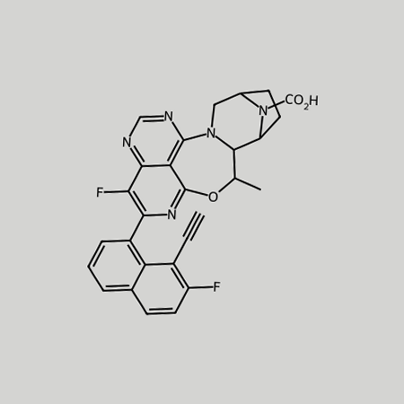 C#Cc1c(F)ccc2cccc(-c3nc4c5c(ncnc5c3F)N3CC5CCC(C3C(C)O4)N5C(=O)O)c12